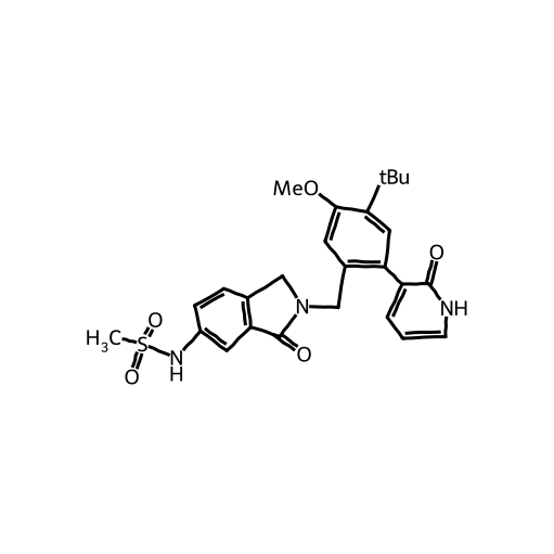 COc1cc(CN2Cc3ccc(NS(C)(=O)=O)cc3C2=O)c(-c2ccc[nH]c2=O)cc1C(C)(C)C